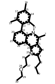 CCCc1cc2c(C)nc3c(-c4c(C)cc(C)cc4C)cccc3c2n1CCOCC